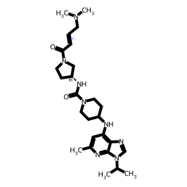 Cc1cc(NC2CCN(C(=O)N[C@@H]3CCN(C(=O)/C=C/CN(C)C)C3)CC2)c2ncn(C(C)C)c2n1